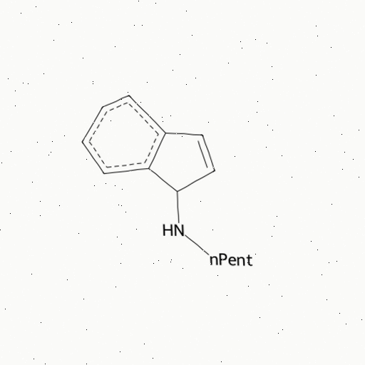 CCCCCNC1C=Cc2ccccc21